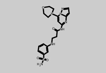 NS(=O)(=O)c1cccc(NCCC(=O)Nc2cc(N3CCOCC3)n3nccc3n2)c1